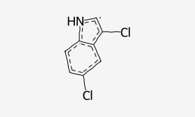 Clc1ccc2[nH][c]c(Cl)c2c1